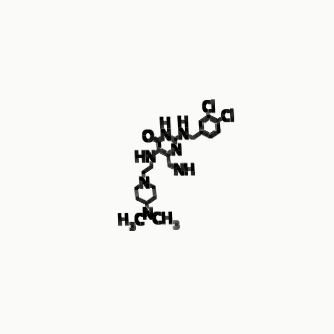 CN(C)C1CCN(CCNc2c(C=N)nc(NCc3ccc(Cl)c(Cl)c3)[nH]c2=O)CC1